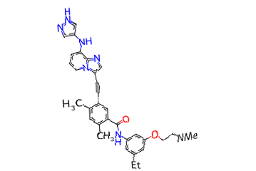 CCc1cc(NC(=O)c2cc(C#Cc3cnc4c(Nc5cn[nH]c5)cccn34)c(C)cc2C)cc(OCCNC)c1